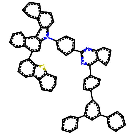 c1ccc(-c2cc(-c3ccccc3)cc(-c3ccc(-c4nc(-c5ccc(-n6c7ccc8ccccc8c7c7c8ccccc8c(-c8cccc9c8sc8ccccc89)cc76)cc5)nc5ccccc45)cc3)c2)cc1